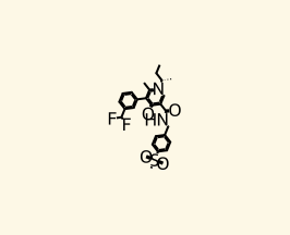 CC[C@H](C)n1cc(C(=O)NCc2ccc(S(C)(=O)=O)cc2)c(=O)c(-c2cccc(C(F)F)c2)c1C